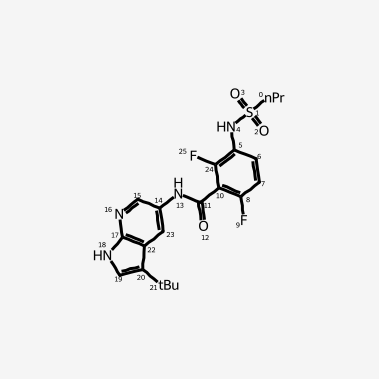 CCCS(=O)(=O)Nc1ccc(F)c(C(=O)Nc2cnc3[nH]cc(C(C)(C)C)c3c2)c1F